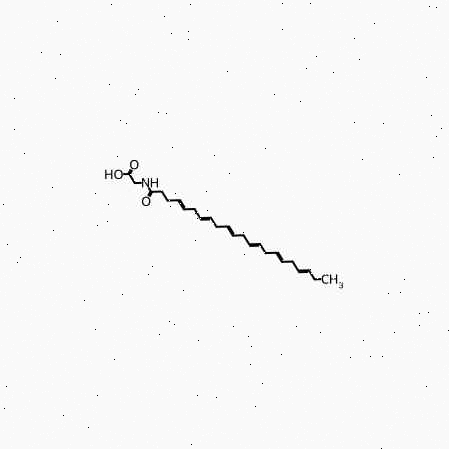 CCC=CCC=CCC=CCC=CCC=CCC=CCCC(=O)NCC(=O)O